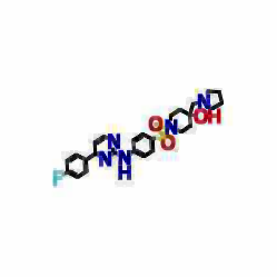 O=S(=O)(c1ccc(Nc2nccc(-c3ccc(F)cc3)n2)cc1)N1CCC(O)(CN2CCCC2)CC1